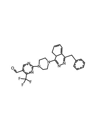 O=Cc1cnc(N2CCN(C3=NN=C(Cc4ccccc4)C4=CC=CCC43)CC2)nc1C(F)(F)F